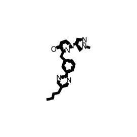 CCCCc1cnc(-c2cccc(Cc3nn(-c4cnn(C)c4)ccc3=O)c2)nc1